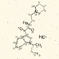 CCC(C)n1cc(C(=O)C(=O)NCCN2CCCCC2)c2ccccc21.Cl